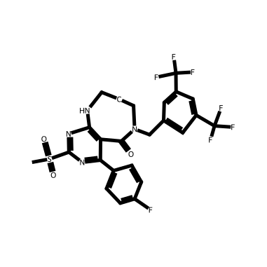 CS(=O)(=O)c1nc2c(c(-c3ccc(F)cc3)n1)C(=O)N(Cc1cc(C(F)(F)F)cc(C(F)(F)F)c1)CCCN2